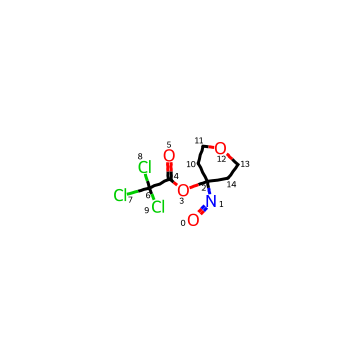 O=NC1(OC(=O)C(Cl)(Cl)Cl)CCOCC1